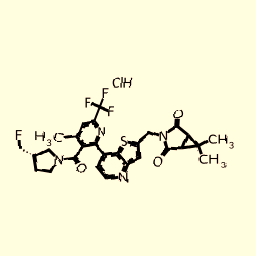 Cc1cc(C(F)(F)F)nc(-c2ccnc3cc(CN4C(=O)C5C(C4=O)C5(C)C)sc23)c1C(=O)N1CC[C@H](CF)C1.Cl